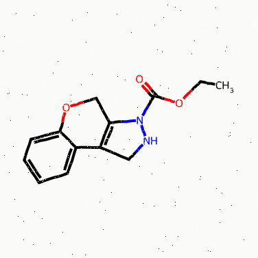 CCOC(=O)N1NCC2=C1COc1ccccc12